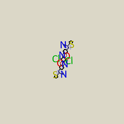 N#C/C(=C\c1ccc2c(c1)Oc1c(Cl)c3c(c(Cl)c1=N2)Oc1cc(/C=C(\C#N)c2cccs2)ccc1N=3)c1cccs1